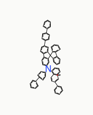 C=C/C=C(\C=C/c1ccccc1N(c1ccc(-c2ccccc2)cc1)c1ccc2c(c1)C1(c3ccccc3-c3ccccc31)c1cc(-c3ccc(-c4ccccc4)cc3)ccc1-2)c1ccccc1